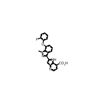 Cn1nc(-c2cc3nccc(C(=O)O)c3[nH]2)c2cccc(Oc3ccccc3F)c21